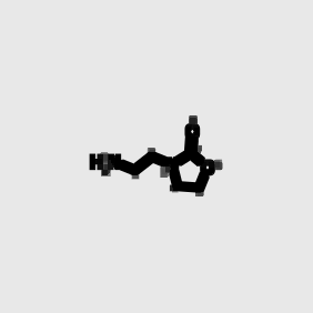 NCCN1CCOC1=O